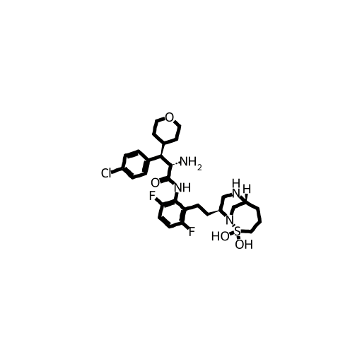 N[C@H](C(=O)Nc1c(F)ccc(F)c1CC[C@H]1CN[C@@H]2CCCS(O)(O)N1C2)[C@@H](c1ccc(Cl)cc1)C1CCOCC1